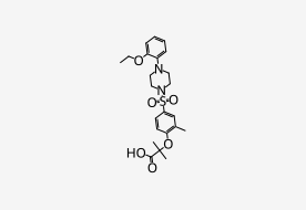 CCOc1ccccc1N1CCN(S(=O)(=O)c2ccc(OC(C)(C)C(=O)O)c(C)c2)CC1